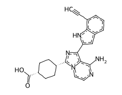 C#Cc1cccc2cc(-c3nc([C@H]4CC[C@@H](C(=O)O)CC4)n4ccnc(N)c34)[nH]c12